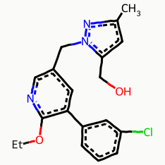 CCOc1ncc(Cn2nc(C)cc2CO)cc1-c1cccc(Cl)c1